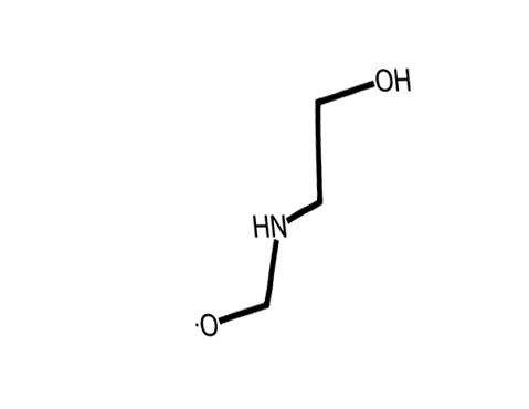 [O]CNCCO